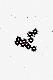 Fc1ccc(-c2cccc3cccc(-c4ccc(N(c5cccc(-c6ccccc6)c5)c5cccc(-c6cccc7c6oc6ccccc67)c5)cc4)c23)cc1